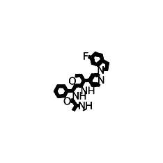 CCC(C(=N)C(=O)C(NC(=O)C(C)NC)C1CCCCC1)c1ccnc(N2CCc3ccc(F)cc32)c1